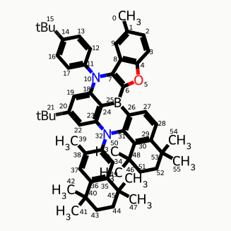 Cc1ccc2oc3c(c2c1)N(c1ccc(C(C)(C)C)cc1)c1cc(C(C)(C)C)cc2c1B3c1ccc3c(c1N2c1cc2c(cc1C)C(C)(C)CCC2(C)C)C(C)(C)CCC3(C)C